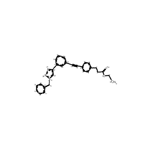 CCOC(=O)CCc1ccc(C#Cc2cccc(-c3cn(Cc4ccccc4)nn3)c2)cc1